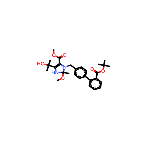 COC(=O)C1=C(C(C)(C)O)NC(C)(OC)N1Cc1ccc(-c2ccccc2C(=O)OC(C)(C)C)cc1